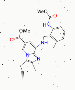 C#CCc1c(C)nc2c(NCc3c(C)cccc3NC(=O)OC)cc(C(=O)OC)cn12